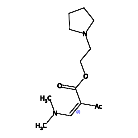 CC(=O)/C(=C/N(C)C)C(=O)OCCN1CCCC1